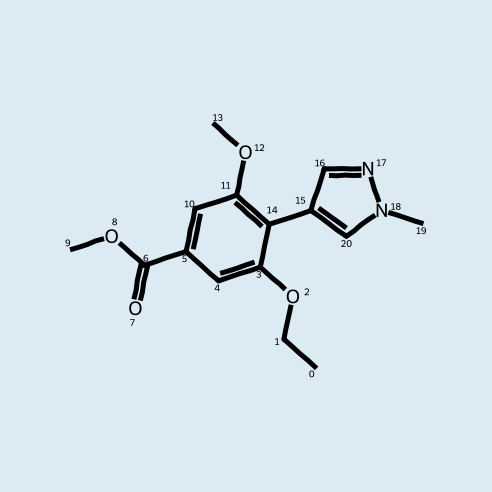 CCOc1cc(C(=O)OC)cc(OC)c1-c1cnn(C)c1